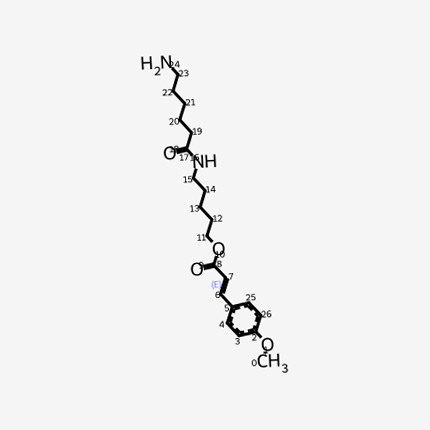 COc1ccc(/C=C/C(=O)OCCCCCNC(=O)CCCCCN)cc1